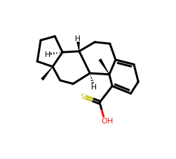 C[C@@]12CCC[C@H]1[C@@H]1CCC3=CCC=C(C(O)=S)[C@]3(C)[C@H]1CC2